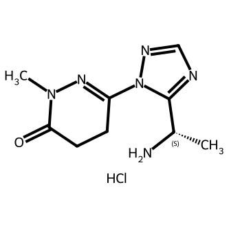 C[C@H](N)c1ncnn1C1=NN(C)C(=O)CC1.Cl